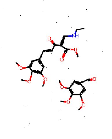 CCNC=C(C(=O)C=Cc1cc(OC)c(OC)c(OC)c1)C(=O)OC.COc1cc(C=O)cc(OC)c1OC